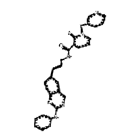 O=C(NCC=Cc1ccc2nc(Nc3ccccc3)ncc2c1)c1cccn(Cc2cccnc2)c1=O